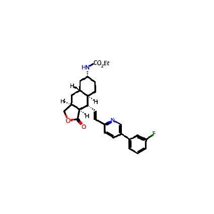 CCOC(=O)N[C@@H]1CC[C@@H]2[C@@H](C1)C[C@@H]1COC(=O)[C@@H]1[C@H]2/C=C/c1ccc(-c2cccc(F)c2)cn1